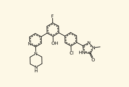 Cn1nc(-c2ccc(-c3cc(F)cc(-c4ccnc(N5CCNCC5)c4)c3O)cc2Cl)[nH]c1=O